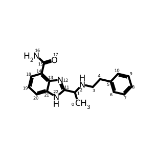 CC(NCCc1ccccc1)c1nc2c(C(N)=O)cccc2[nH]1